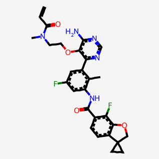 C=CC(=O)N(C)CCOc1c(N)ncnc1-c1cc(F)cc(NC(=O)c2ccc3c(c2F)OCC32CC2)c1C